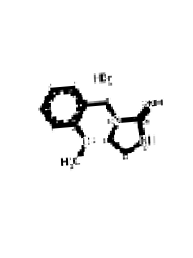 Br.COc1ccccc1CN1CCNC1=N